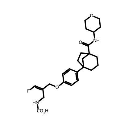 O=C(O)NC/C(=C\F)COc1ccc(C23CCCC(C(=O)NC4CCOCC4)(CC2)C3)cc1